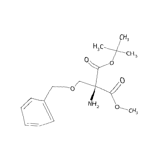 COC(=O)[C@](N)(COCc1ccccc1)C(=O)OC(C)(C)C